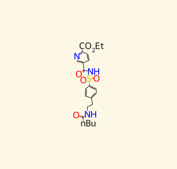 CCCCC(=O)NCCc1ccc(S(=O)(=O)NC(=O)c2ccc(C(=O)OCC)nc2)cc1